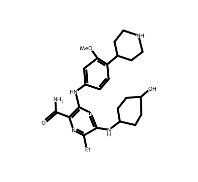 CCc1nc(C(N)=O)c(Nc2ccc(C3CCNCC3)c(OC)c2)nc1NC1CCC(O)CC1